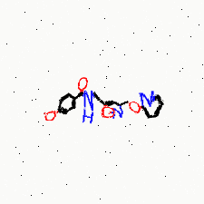 COc1ccc(C(=O)NCc2cc(COc3ccccn3)no2)cc1